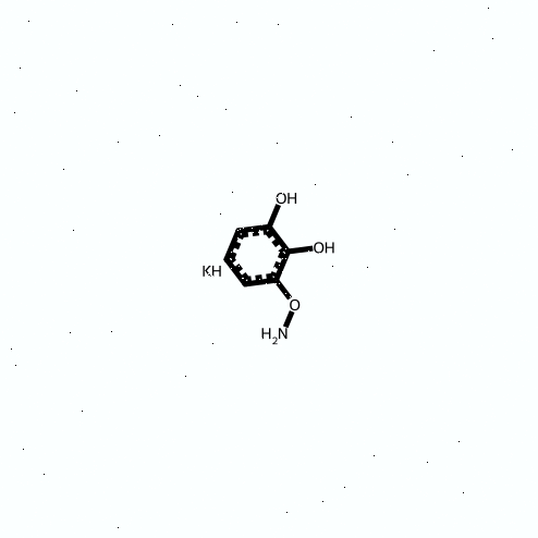 NOc1cccc(O)c1O.[KH]